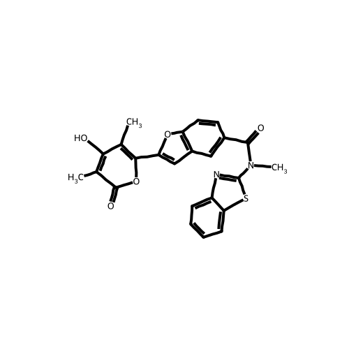 Cc1c(-c2cc3cc(C(=O)N(C)c4nc5ccccc5s4)ccc3o2)oc(=O)c(C)c1O